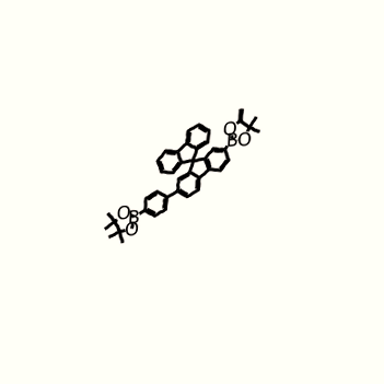 C=C1OB(c2ccc3c(c2)C2(c4ccccc4-c4ccccc42)c2cc(-c4ccc(B5OC(C)(C)C(C)(C)O5)cc4)ccc2-3)OC1(C)C